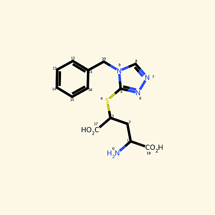 NC(CC(Sc1nncn1Cc1ccccc1)C(=O)O)C(=O)O